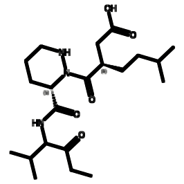 CCC(=O)C(NC(=O)[C@@H]1CCCNN1C(=O)[C@H](CCC(C)C)CC(=O)O)C(C)C